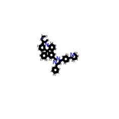 C/C=C\c1c(C)n2c3c(cccc13)C(c1ccccc1)(c1ccc(-c3nc(-c4ccccc4)cc(-c4ccc(-c5ccccn5)cc4)n3)cc1)c1ccccc1-2